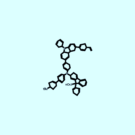 C=CC1C=CC(C2=CC=C3C(C2)C2C=C(C4=CC=C(N(c5ccc(C6=CCC(C(C)(C)C)CC6)cc5)C5C=C6C(=CC5)c5ccccc5C6(CCCCCCCC)C5=CCCC=C5)CC4)C=CC2N3C2C=CC=CC2)=CC1